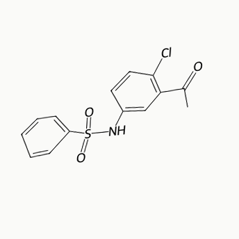 CC(=O)c1cc(NS(=O)(=O)c2ccccc2)ccc1Cl